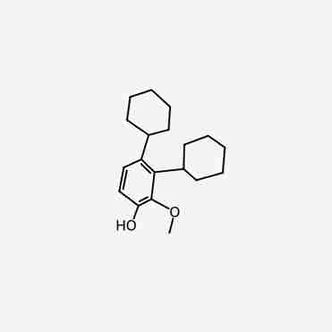 COc1c(O)ccc(C2CCCCC2)c1C1CCCCC1